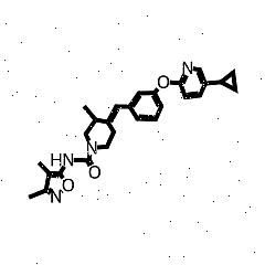 Cc1noc(NC(=O)N2CCC(=Cc3cccc(Oc4ccc(C5CC5)cn4)c3)C(C)C2)c1C